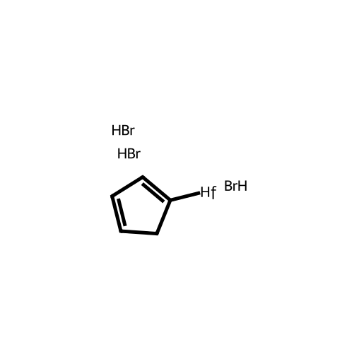 Br.Br.Br.[Hf][C]1=CC=CC1